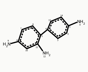 Nc1ccc(-c2ccc(N)cc2N)cc1